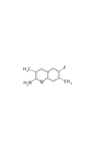 Cc1cc2nc(N)c(C)cc2cc1F